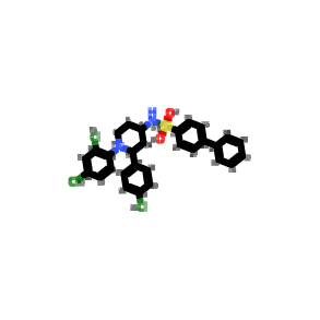 O=S(=O)(NC1CCN(c2ccc(Cl)cc2Cl)C(c2ccc(Cl)cc2)C1)c1ccc(-c2ccccc2)cc1